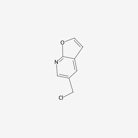 ClCc1cnc2occc2c1